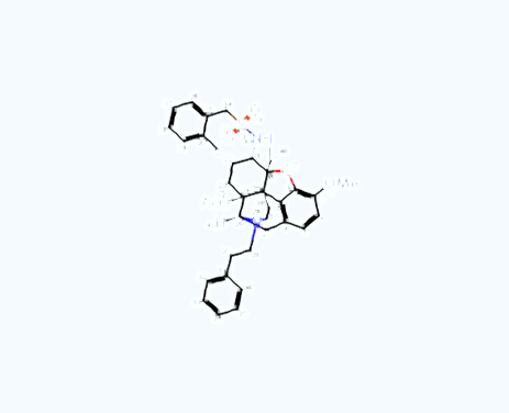 COc1ccc2c3c1O[C@H]1[C@@H](NS(=O)(=O)Cc4ccccc4C)CC[C@@]4(OC(C)=O)[C@@H](C2)N(CCc2ccccc2)CC[C@]314